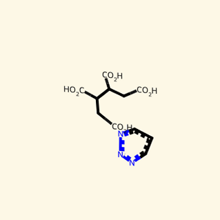 O=C(O)CC(C(=O)O)C(CC(=O)O)C(=O)O.c1cnnnc1